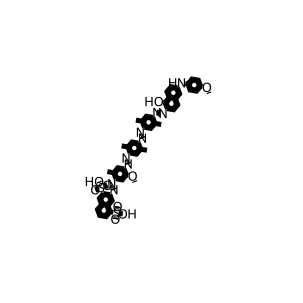 COc1ccc(Nc2ccc3c(O)c(N=Nc4cc(C)c(N=Nc5cc(C)c(N=Nc6cc(C)c(N=Nc7cc8c(S(=O)(=O)O)cccc8cc7S(=O)(=O)O)cc6OC)cc5C)cc4C)ccc3c2)cc1